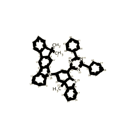 CC1(C)c2ccccc2-c2cc3c4ccccc4n(C4=CC5(C)c6ccccc6SC5C(c5nc(-c6ccccc6)nc(-c6ccccc6)n5)=C4)c3cc21